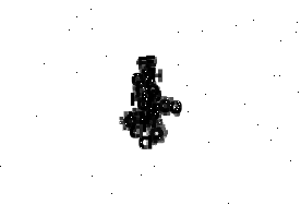 COc1ccc(C(NC(=O)C(Cc2cccc(Cl)c2)NC(=O)C(F)(F)c2cccc(Cl)c2)C(=O)N[C@H](C(=O)C(F)(F)C(=O)NCC(F)(F)F)C(C)C)cc1